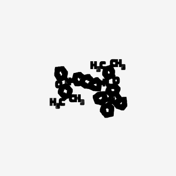 Cc1cc2c(cc1C)N(c1ccc3cc4cc(N5c6cc(C)c(C)cc6Oc6cc7c(cc65)[Si](c5ccccc5)(c5ccccc5)c5ccccc5-7)ccc4cc3c1)c1ccccc1O2